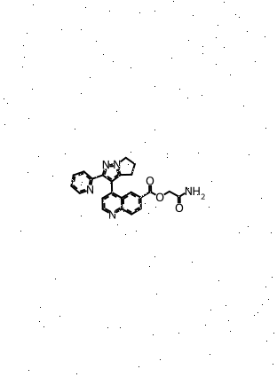 NC(=O)COC(=O)c1ccc2nccc(-c3c(-c4ccccn4)nn4c3CCC4)c2c1